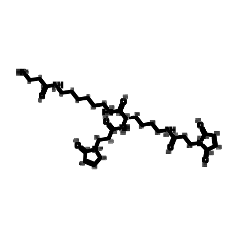 O=C(CCS)NCCCCCCNC(=O)[C@H](CCCCNC(=O)CCN1C(=O)C=CC1=O)NC(=O)CCN1CC=CC1=O